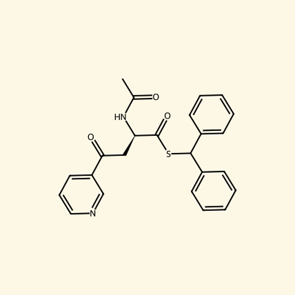 CC(=O)N[C@H](CC(=O)c1cccnc1)C(=O)SC(c1ccccc1)c1ccccc1